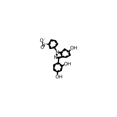 O=[N+]([O-])c1cccc(-n2nc(-c3ccc(O)cc3O)c3ccc(O)cc32)c1